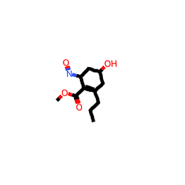 CCCC1=C(C(=O)OC)C(N=O)CC(O)C1